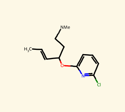 CC=CC(CCNC)Oc1cccc(Cl)n1